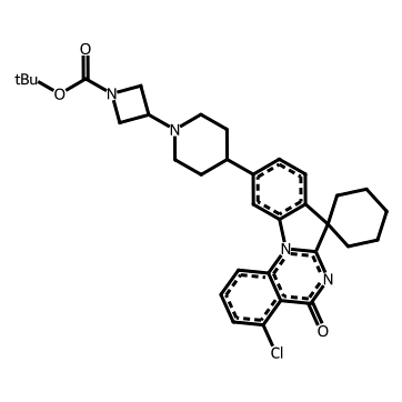 CC(C)(C)OC(=O)N1CC(N2CCC(c3ccc4c(c3)-n3c(nc(=O)c5c(Cl)cccc53)C43CCCCC3)CC2)C1